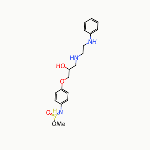 CO[SH](=O)=Nc1ccc(OCC(O)CNCCNc2ccccc2)cc1